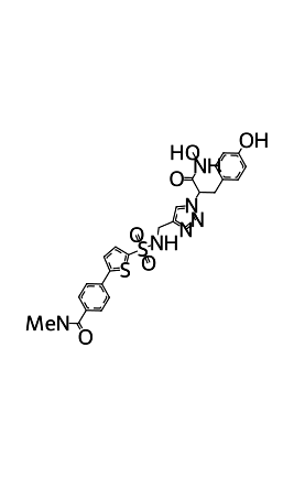 CNC(=O)c1ccc(-c2ccc(S(=O)(=O)NCc3cn(C(Cc4ccc(O)cc4)C(=O)NO)nn3)s2)cc1